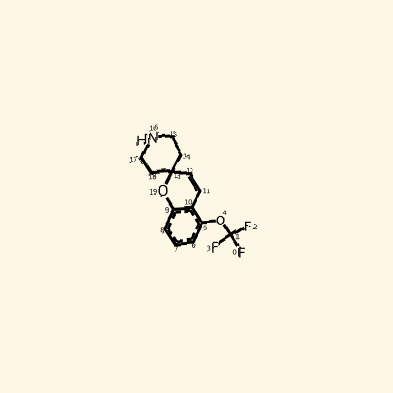 FC(F)(F)Oc1cccc2c1C=CC1(CCNCC1)O2